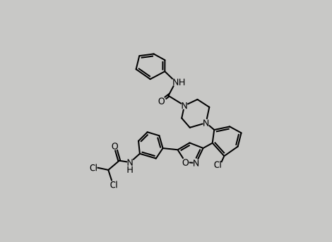 O=C(Nc1cccc(-c2cc(-c3c(Cl)cccc3N3CCN(C(=O)Nc4ccccc4)CC3)no2)c1)C(Cl)Cl